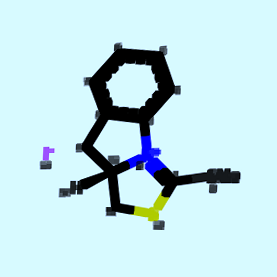 CSC1=[N+]2c3ccccc3C[C@H]2CS1.[I-]